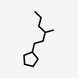 CCCC(C)CCC1CCCC1